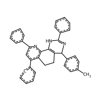 Cc1ccc(C2N=C(c3ccccc3)NC3=C2CCc2c(-c4ccccc4)cc(-c4ccccc4)nc23)cc1